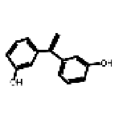 C=C(c1cccc(O)c1)c1cccc(O)c1